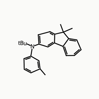 Cc1cccc(N(c2ccc3c(c2)-c2ccccc2C3(C)C)C(C)(C)C)c1